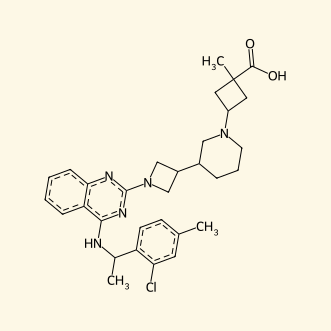 Cc1ccc(C(C)Nc2nc(N3CC(C4CCCN(C5CC(C)(C(=O)O)C5)C4)C3)nc3ccccc23)c(Cl)c1